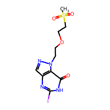 CS(=O)(=O)CCOCCn1ncc2nc(I)[nH]c(=O)c21